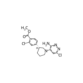 COC(=O)c1ccc([C@H]2CCCN(c3cc(Cl)nnc3N)C2)cc1Cl